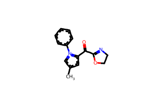 Cc1cc(C(=O)C2=NCCO2)n(-c2ccccc2)c1